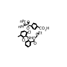 CCCN(CCC)S(=O)(=O)c1ccc(C(=O)O)cc1.CCOCOC(=O)c1ccccc1Nc1c(Cl)ccc(C)c1Cl